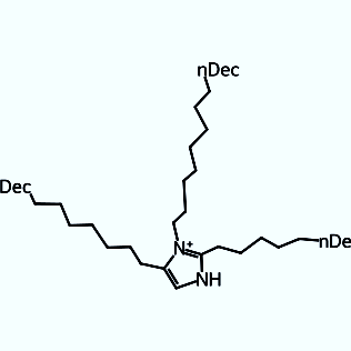 CCCCCCCCCCCCCCCCCC[n+]1c(CCCCCCCCCCCCCCCCC)c[nH]c1CCCCCCCCCCCCCCC